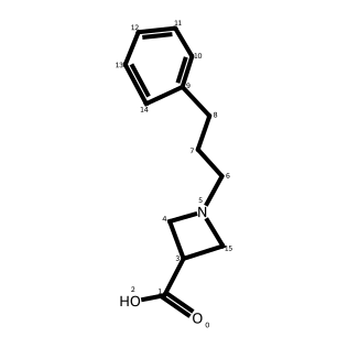 O=C(O)C1CN(CCCc2ccccc2)C1